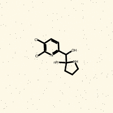 CCCC1(C(O)c2ccc(Cl)c(Cl)n2)CCCN1